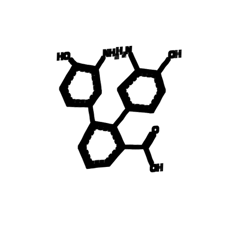 Nc1cc(-c2cccc(C(=O)O)c2-c2ccc(O)c(N)c2)ccc1O